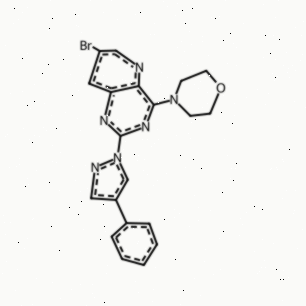 Brc1cnc2c(N3CCOCC3)nc(-n3cc(-c4ccccc4)cn3)nc2c1